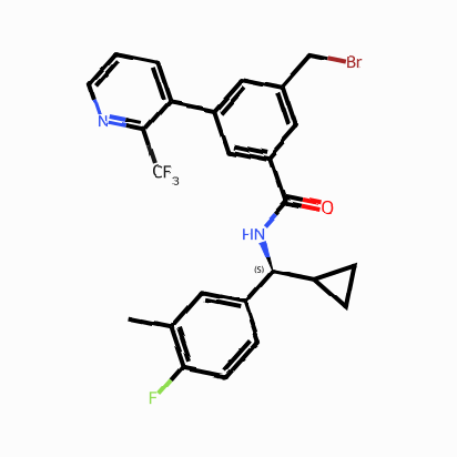 Cc1cc([C@@H](NC(=O)c2cc(CBr)cc(-c3cccnc3C(F)(F)F)c2)C2CC2)ccc1F